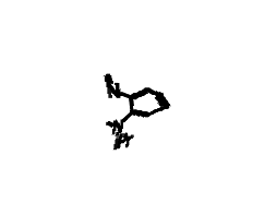 C=Nc1ccccc1N(C)C(C)C